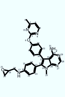 Cc1ccnc(Oc2ccc(-c3c(-c4ccc(NCC5CO5)cc4)n(C)c4ncnc(N)c34)cc2)n1